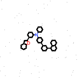 c1ccc(N(c2ccc(-c3cccc(-c4cccc5ccccc45)c3)cc2)c2cccc(-c3cc4ccccc4o3)c2)cc1